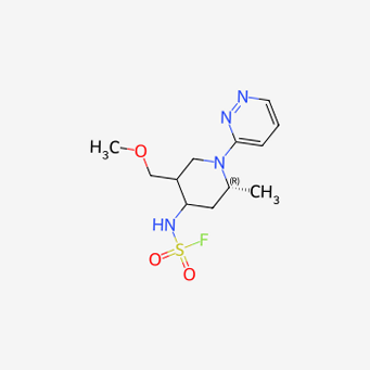 COCC1CN(c2cccnn2)[C@H](C)CC1NS(=O)(=O)F